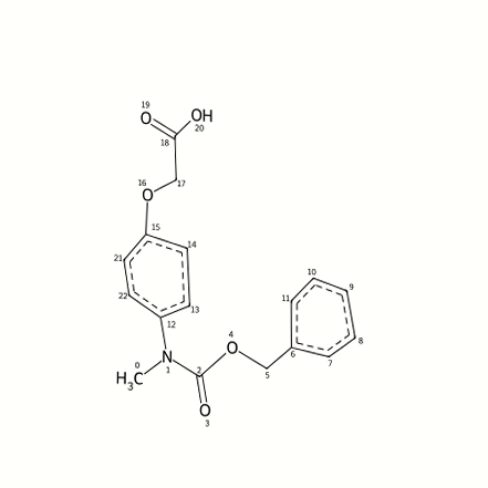 CN(C(=O)OCc1ccccc1)c1ccc(OCC(=O)O)cc1